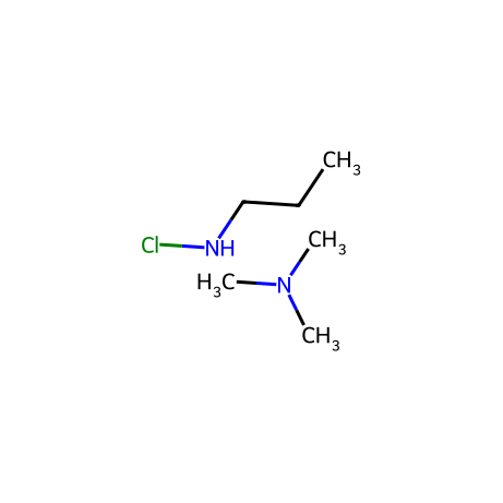 CCCNCl.CN(C)C